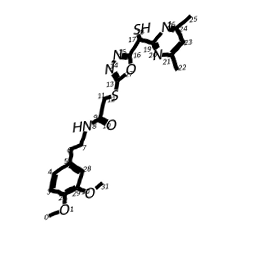 COc1ccc(CCNC(=O)CSc2nnc(C(S)c3nc(C)cc(C)n3)o2)cc1OC